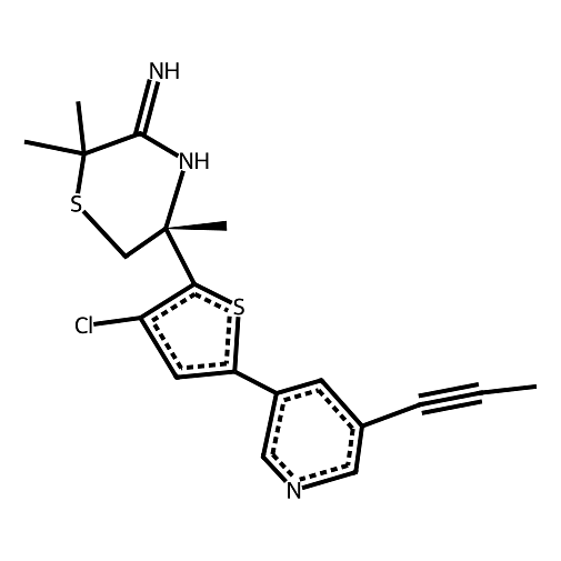 CC#Cc1cncc(-c2cc(Cl)c([C@]3(C)CSC(C)(C)C(=N)N3)s2)c1